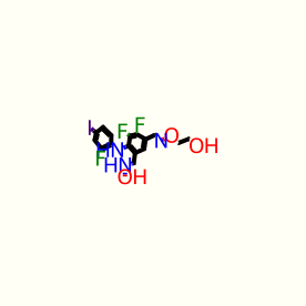 OCCON=Cc1cc(CNO)c(Nc2ccc(I)cc2F)c(F)c1F